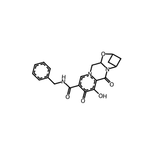 O=C(NCc1ccccc1)c1cn2c(c(O)c1=O)C(=O)N1C3CC(C3)OC1C2